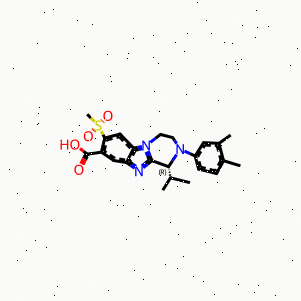 Cc1ccc(N2CCn3c(nc4cc(C(=O)O)c(S(C)(=O)=O)cc43)[C@H]2C(C)C)cc1C